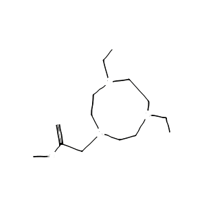 CCNC(=O)CN1CCN(CC(=O)O)CCN(CC(=O)O)CC1